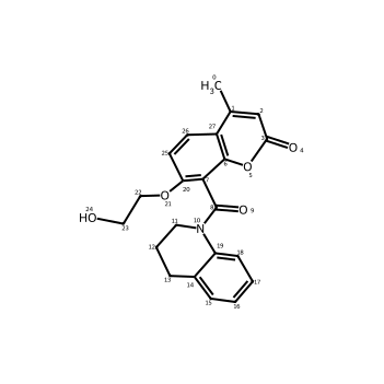 Cc1cc(=O)oc2c(C(=O)N3CCCc4ccccc43)c(OCCO)ccc12